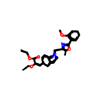 CCOC(=O)/C(=C\c1ccc2c(ccn2Cc2nc(-c3ccccc3OC)oc2C)c1)OCC